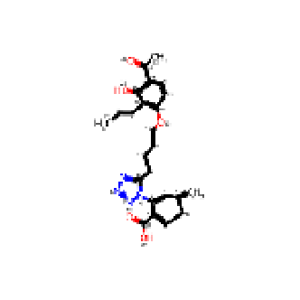 C=C1C=C(n2nnnc2CCCCOc2ccc(C(C)=O)c(O)c2CCC)C(C(=O)O)=CC1